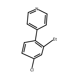 CCc1cc(Cl)ccc1-c1ccncc1